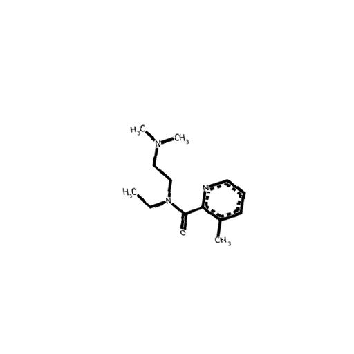 CCN(CCN(C)C)C(=O)c1ncccc1C